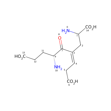 NC(CC(=CCC(=O)O)C(=O)[C@H](N)CCC(=O)O)C(=O)O